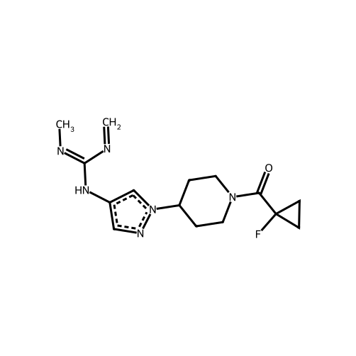 C=N/C(=N\C)Nc1cnn(C2CCN(C(=O)C3(F)CC3)CC2)c1